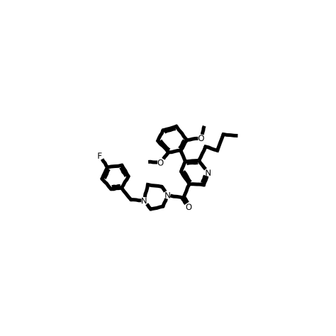 CCCCc1ncc(C(=O)N2CCN(Cc3ccc(F)cc3)CC2)cc1-c1c(OC)cccc1OC